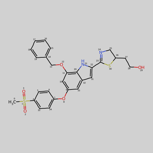 CS(=O)(=O)c1ccc(Oc2cc(OCc3ccccc3)c3[nH]c(C4=NCC(CCO)S4)cc3c2)cc1